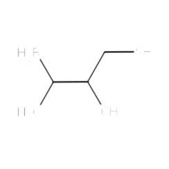 BC(C)C(C)CS